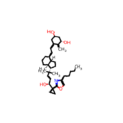 C=C1/C(=C\C=C2/CCC[C@]3(C)[C@@H](C(C)(C)/C=C/[C@H](O)C4(c5nc(CCCCC)co5)CC4)CC[C@@H]23)C[C@@H](O)C[C@@H]1O